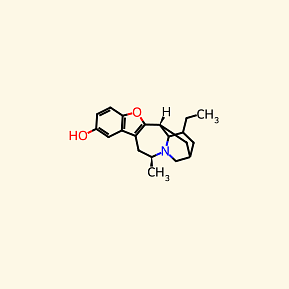 CCC1CC2C[C@H]3c4oc5ccc(O)cc5c4C[C@H](C)N(C2)C13